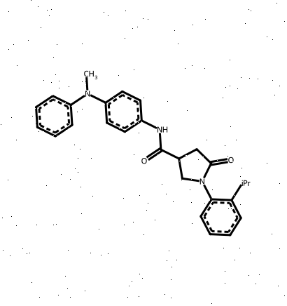 CC(C)c1ccccc1N1CC(C(=O)Nc2ccc(N(C)c3ccccc3)cc2)CC1=O